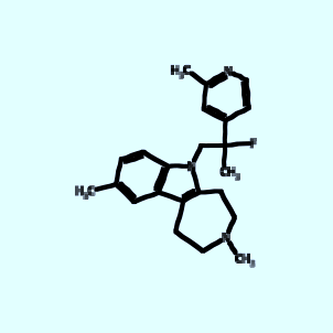 Cc1ccc2c(c1)c1c(n2CC(C)(F)c2ccnc(C)c2)CCN(C)CC1